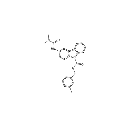 Cc1cccc(COC(=O)c2c3ccccc3n3cc(NC(=O)N(C)C)ccc23)c1